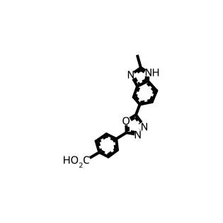 Cc1nc2cc(-c3nnc(-c4ccc(C(=O)O)cc4)o3)ccc2[nH]1